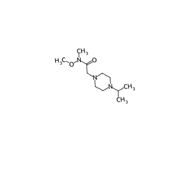 CON(C)C(=O)CN1CCN(C(C)C)CC1